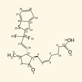 C=C1CC(=O)[C@H](C/C=C\CCCC(=O)O)[C@H]1/C=C/C(F)(F)c1cc2ccccc2s1